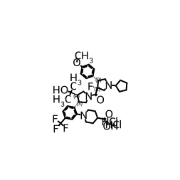 COc1ccc([C@@H]2CN(C3CCCC3)C[C@@]2(F)C(=O)N2C[C@H](c3ccc(C(F)(F)F)cc3N3CCC(C(=O)O)CC3)[C@@H](C(C)(C)O)C2)cc1.Cl.Cl